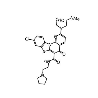 CNCCN(CC=O)c1ccc2c(=O)c(C(=O)NCCN3CCCC3)c3sc4cc(Cl)ccc4n3c2n1